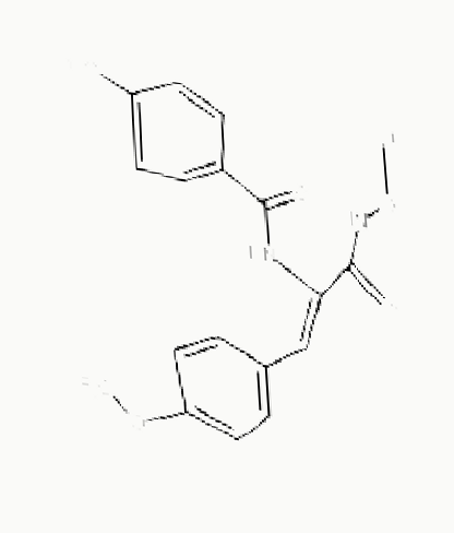 CCONC(=O)/C(=C/c1ccc(OC(F)(F)F)cc1)NC(=O)c1ccc(OCC(C)C)cc1